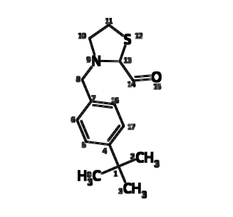 CC(C)(C)c1ccc(CN2CCSC2C=O)cc1